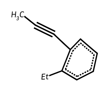 CC#Cc1ccccc1CC